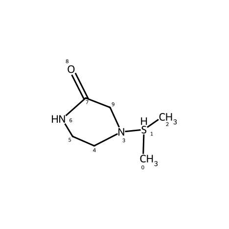 C[SH](C)N1CCNC(=O)C1